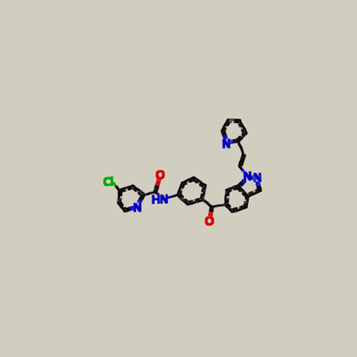 O=C(c1cccc(NC(=O)c2cc(Cl)ccn2)c1)c1ccc2cnn(C=Cc3ccccn3)c2c1